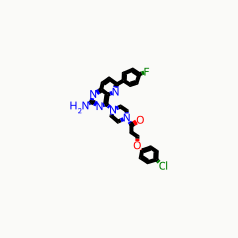 Nc1nc(N2CCN(C(=O)CCOc3ccc(Cl)cc3)CC2)c2nc(-c3ccc(F)cc3)ccc2n1